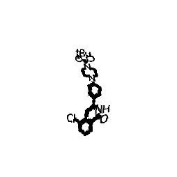 CC(C)(C)OC(=O)N1CCN(c2ccc(-c3cc4c(Cl)cccc4c(=O)[nH]3)cc2)CC1